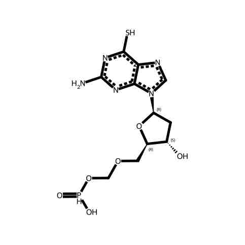 Nc1nc(S)c2ncn([C@H]3C[C@H](O)[C@@H](COCO[PH](=O)O)O3)c2n1